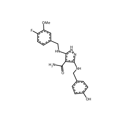 COc1cc(CNc2[nH]nc(NCc3ccc(O)cc3)c2C(N)=O)ccc1F